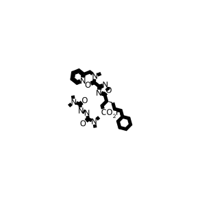 CN(C)C(=O)N=NC(=O)N(C)C.CN(Cc1ccccn1)C(=O)c1noc([C@H](CCCC2CCCCC2)CC(=O)O)n1